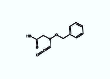 O=C=CN(CC(=O)O)OCc1ccccc1